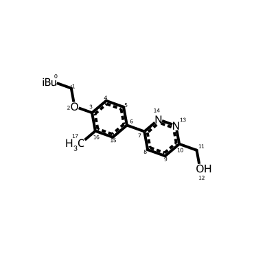 C[CH]C(C)[CH]Oc1ccc(-c2ccc(CO)nn2)cc1C